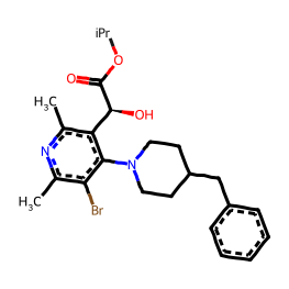 Cc1nc(C)c([C@H](O)C(=O)OC(C)C)c(N2CCC(Cc3ccccc3)CC2)c1Br